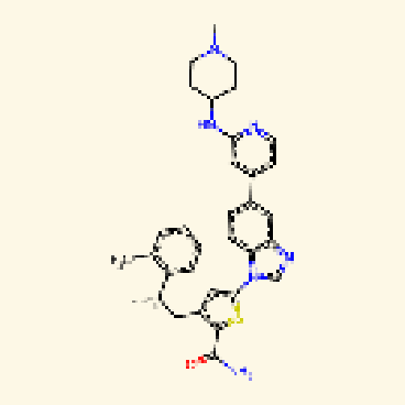 C[C@@H](Cc1cc(-n2cnc3cc(-c4ccnc(NC5CCN(C)CC5)c4)ccc32)sc1C(N)=O)c1ccccc1C(F)(F)F